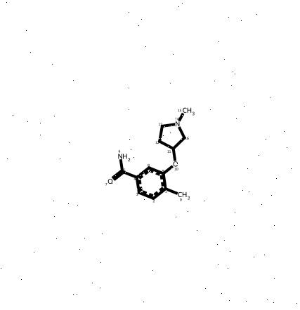 Cc1ccc(C(N)=O)cc1OC1CCN(C)C1